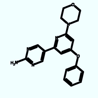 Nc1ncc(-c2cc(Oc3ccccc3)cc(N3CCOCC3)n2)cn1